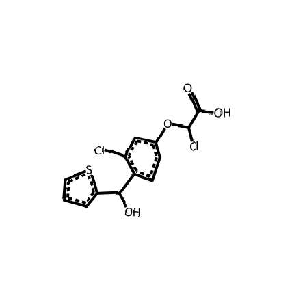 O=C(O)C(Cl)Oc1ccc(C(O)c2cccs2)c(Cl)c1